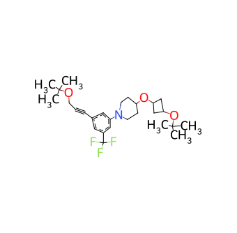 CC(C)(C)OCC#Cc1cc(N2CCC(OC3CC(OC(C)(C)C)C3)CC2)cc(C(F)(F)F)c1